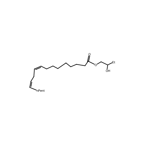 CCCCC/C=C\C/C=C\CCCCCCCC(=O)OCC(O)CC